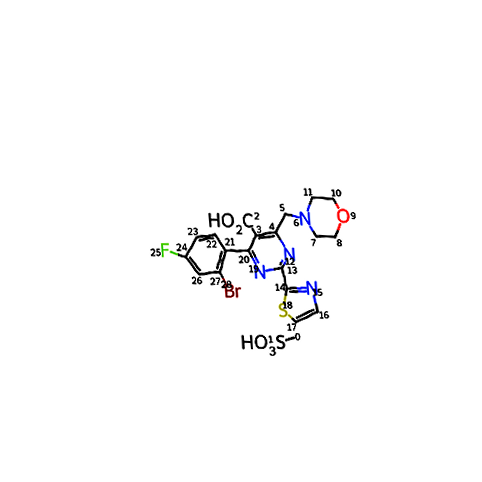 CS(=O)(=O)O.O=C(O)c1c(CN2CCOCC2)nc(-c2nccs2)nc1-c1ccc(F)cc1Br